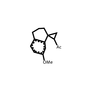 COc1ccc2c(c1)C1(CCC2)CC1C(C)=O